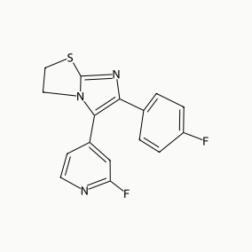 Fc1ccc(-c2nc3n(c2-c2ccnc(F)c2)CCS3)cc1